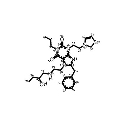 CCCn1c(=O)c2c(nc(Cc3ccccc3)n2CCNCC(O)CC)n(CCN2C=CSC2)c1=O